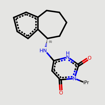 CC(C)n1c(=O)cc(N[C@H]2CCCCc3ccccc32)[nH]c1=O